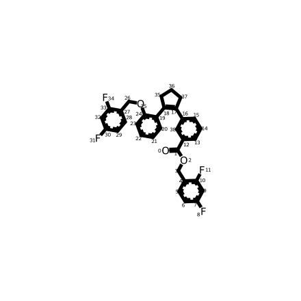 O=C(OCc1ccc(F)cc1F)c1cccc(C2=C(c3ccccc3OCc3ccc(F)cc3F)CCC2)c1